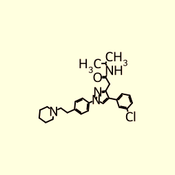 CC(C)NC(=O)Cc1nn(-c2ccc(CCN3CCCCC3)cc2)cc1-c1cccc(Cl)c1